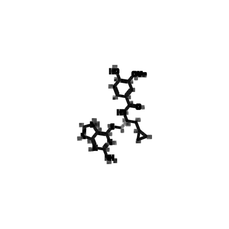 COc1cc(C(=O)N[C@@H](CSc2nc(N)nc3nc[nH]c23)CC2CC2)ccc1O